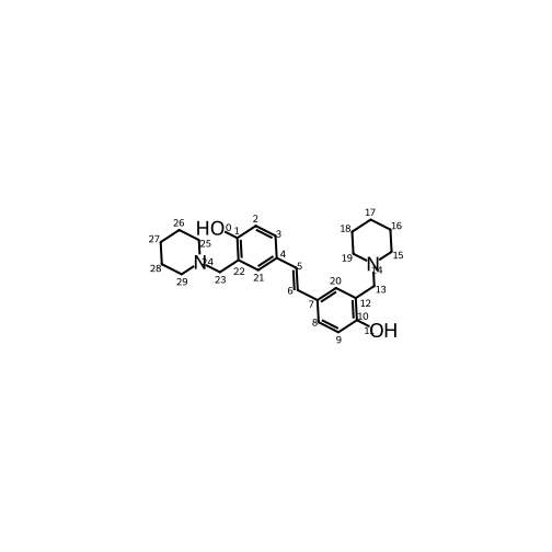 Oc1ccc(C=Cc2ccc(O)c(CN3CCCCC3)c2)cc1CN1CCCCC1